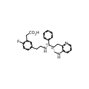 O=C(O)Cc1cc(CCN[C@H](c2ccccc2)[C@H]2CNc3cccnc3C2)ccc1F